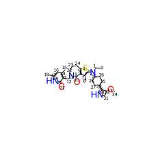 CCN(c1sc2c(c1C)C(=O)N(Cc1c(C)cc(C)[nH]c1=O)CCC2)C1CCC(C2NCC2OC)CC1